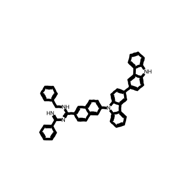 N=C(/N=C(\NCc1ccccc1)c1ccc2cc(-n3c4ccccc4c4cc(-c5ccc6[nH]c7ccccc7c6c5)ccc43)ccc2c1)c1ccccc1